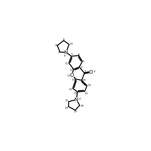 O=c1c2ccc(N3CCCC3)cc2oc2cc(N3CCCC3)ccc12